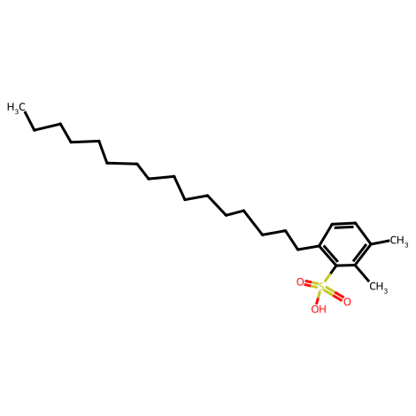 CCCCCCCCCCCCCCCCc1ccc(C)c(C)c1S(=O)(=O)O